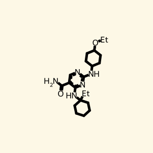 CCOC1CCC(Nc2ncc(C(N)=O)c(NC3(CC)CCCCC3)n2)CC1